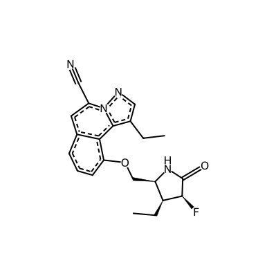 CCc1cnn2c(C#N)cc3cccc(OC[C@H]4NC(=O)[C@@H](F)[C@H]4CC)c3c12